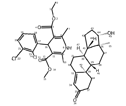 CCOC(=O)C1=C(C)NC(C)=C(C(=O)OC)C1c1cccc(Cl)c1Cl.C[C@]12CC[C@H]3[C@@H](CCC4=CC(=O)CC[C@@]43C)[C@@H]1CC[C@@H]2O